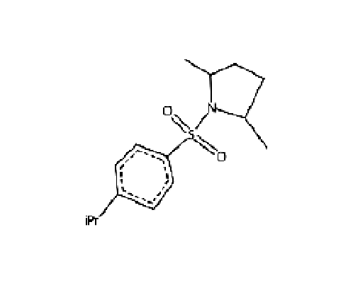 CC(C)c1ccc(S(=O)(=O)N2C(C)CCC2C)cc1